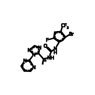 C[C@H](NC(=O)Nc1cc(Br)c(C(F)(F)F)cc1F)c1ncnn1-c1ncccn1